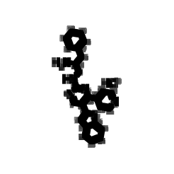 Cl.N[C@H](CNc1ncc(-c2cc3ccccc3s2)c(-c2ccncc2)n1)Cc1ccccc1